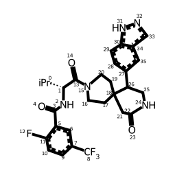 CC(C)[C@@H](NC(=O)c1cc(C(F)(F)F)ccc1F)C(=O)N1CCC2(CC1)CC(=O)NCC2c1ccc2[nH]ncc2c1